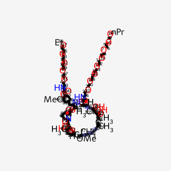 CCCOCCOCCOCCOCCOCCOCCOCCOCCNC(=O)O[C@@H]1C[C@@H]([C@H](N)CC2CC[C@@H](OC(=O)NCCOCCOCCOCCOCCOCC)[C@H](OC)C2)OC(=O)[C@@H]2CCCCN2C(=O)C(=O)[C@]2(O)O[C@@H](CC[C@H]2C)C[C@H](OC)/C(C)=C/C=C/C=C/[C@@H](C)C[C@@H](C)C(=O)[C@H](O)[C@H](O)/C(C)=C/[C@H]1C